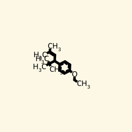 CCOc1ccc(C(C=C(C)C)C(C)(C)C)cc1